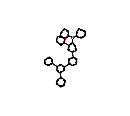 c1ccc(-c2cc(-c3ccccc3)cc(-c3cccc(-c4ccc(N(c5ccccc5)c5ccccc5)c(-c5ccccc5)c4)c3)c2)cc1